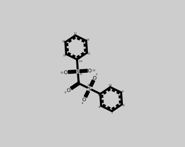 O=C(S(=O)(=O)c1ccccc1)S(=O)(=O)c1ccccc1